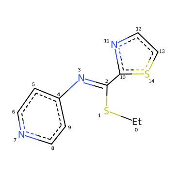 CCSC(=Nc1ccncc1)c1nccs1